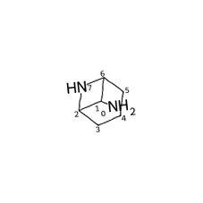 NC1C2CCCC1N2